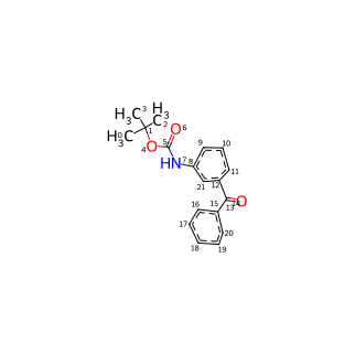 CC(C)(C)OC(=O)Nc1cccc(C(=O)c2ccccc2)c1